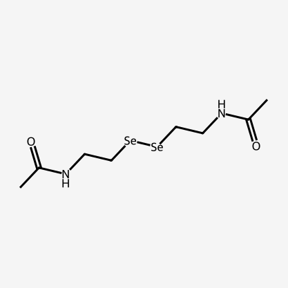 CC(=O)NCC[Se][Se]CCNC(C)=O